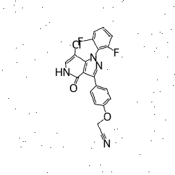 N#CCOc1ccc(-c2nn(-c3c(F)cccc3F)c3c(Cl)c[nH]c(=O)c23)cc1